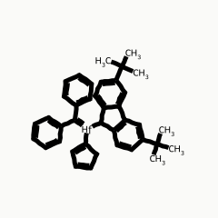 CC(C)(C)c1ccc2c(c1)-c1cc(C(C)(C)C)ccc1[CH]2[Hf]([C]1=CC=CC1)=[C](c1ccccc1)c1ccccc1